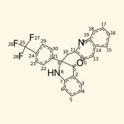 O=C1c2ccccc2NC1(Cc1ccc2ccccc2n1)c1ccc(C(F)(F)F)cc1